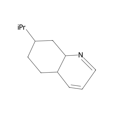 CC(C)C1CCC2C=CC=NC2C1